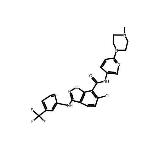 CN1CCN(c2ccc(NC(=O)c3c(Cl)ccc4c(Nc5cccc(C(F)(F)F)c5)noc34)cn2)CC1